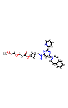 CCOCCOCCC(=O)O[C@H]1C[C@H](CNc2cc(N3CCc4ccccc4CC3)nc(-c3ccccn3)n2)C1